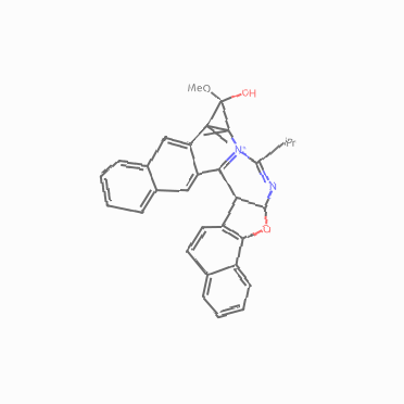 COC1(O)C2(C)c3cc4ccccc4cc3C3=[N+](C(C(C)C)=NC4Oc5c(ccc6ccccc56)C34)C12C